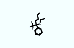 CCCCC(OCC)(c1ccccn1)C(F)(F)F